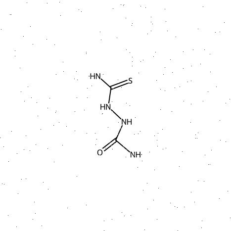 [NH]C(=O)NNC([NH])=S